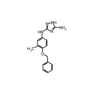 Cc1cc(Nc2n[nH]c(N)n2)ccc1OCc1ccccc1